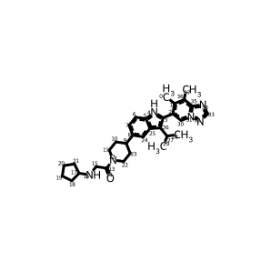 Cc1c(-c2[nH]c3ccc(C4CCN(C(=O)CNC5CCCC5)CC4)cc3c2C(C)C)cn2ncnc2c1C